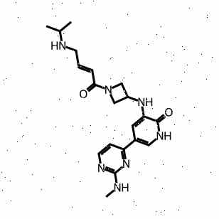 CNc1nccc(-c2c[nH]c(=O)c(NC3CN(C(=O)C=CCNC(C)C)C3)c2)n1